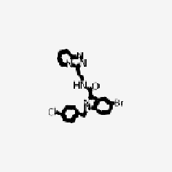 O=C(NCCc1nnc2ccccn12)c1nn(Cc2ccc(Cl)cc2)c2ccc(Br)cc12